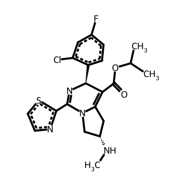 CN[C@H]1CC2=C(C(=O)OC(C)C)[C@H](c3ccc(F)cc3Cl)N=C(c3nccs3)N2C1